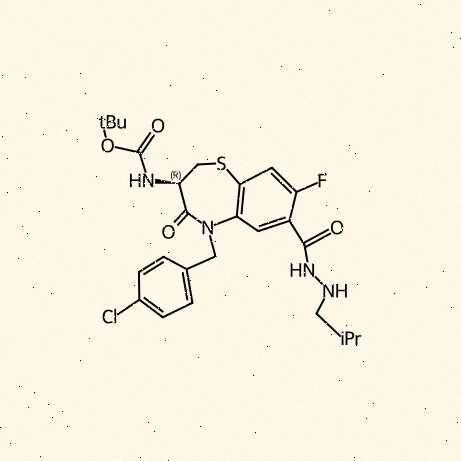 CC(C)CNNC(=O)c1cc2c(cc1F)SC[C@H](NC(=O)OC(C)(C)C)C(=O)N2Cc1ccc(Cl)cc1